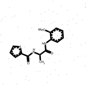 COc1ccccc1NC(=O)C(C)NC(=O)c1cccs1